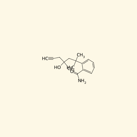 C#CCC(O)(CC(C)(C)c1ccccc1C(N)=O)C(F)(F)F